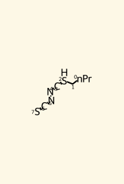 CCCC[SH]=C=NN=C=S